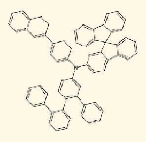 C1=C(C2=Cc3ccccc3CC2)CCC(N(c2ccc(-c3ccccc3-c3ccccc3)c(-c3ccccc3)c2)c2ccc3c(c2)C2(c4ccccc4-c4ccccc42)c2ccccc2-3)=C1